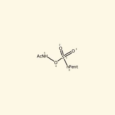 CCCCCS(=O)(=O)ONC(C)=O